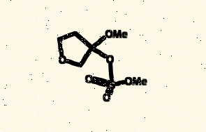 COC1(OS(=O)(=O)OC)CCOC1